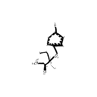 CC[C@@](C)(Oc1ccc(F)cc1)C(=O)O